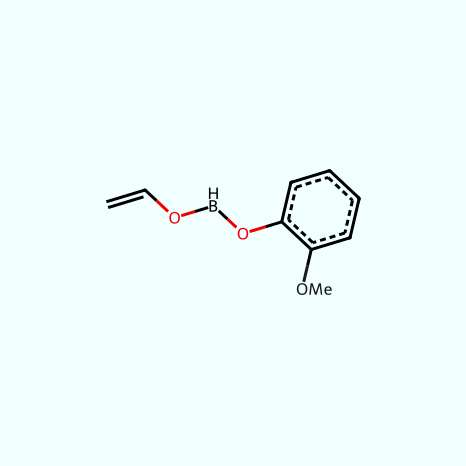 C=COBOc1ccccc1OC